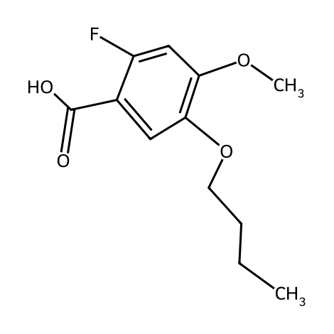 CCCCOc1cc(C(=O)O)c(F)cc1OC